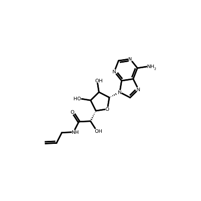 C=CCNC(=O)C(O)[C@H]1O[C@@H](n2cnc3c(N)ncnc32)C(O)C1O